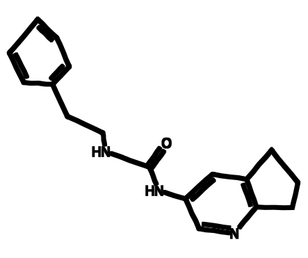 O=C(NCCc1ccccc1)Nc1cnc2c(c1)CCC2